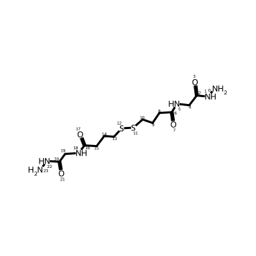 NNC(=O)CNC(=O)CCCSSCCCC(=O)NCC(=O)NN